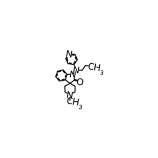 CCCN(c1ccncc1)N1C(=O)C2(CCN(C)CC2)c2ccccc21